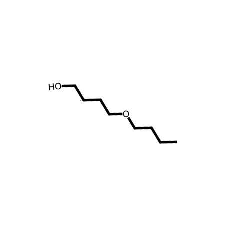 CCCCOCC[CH]CO